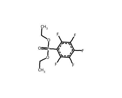 CCOP(=O)(OCC)c1c(F)c(F)c(F)c(F)c1F